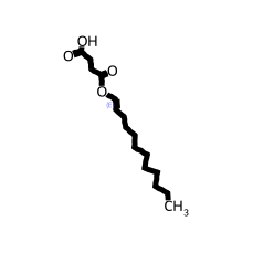 CCCCCCCCCC/C=C/OC(=O)CCC(=O)O